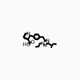 CCCn1nc(C(C)CC)nc1Cc1ccc(-c2ncccc2C(=O)O)cc1